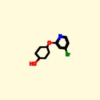 OC1CCC(Oc2cc(Br)ccn2)CC1